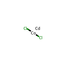 [Cd].[Cl][Co][Cl]